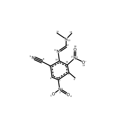 Cc1c([N+](=O)[O-])cc(C#N)c(N=CN(C)C)c1[N+](=O)[O-]